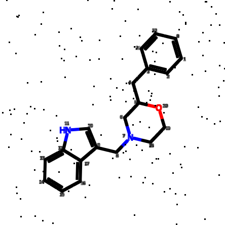 c1ccc(CC2CN(Cc3c[nH]c4ccccc34)CCO2)cc1